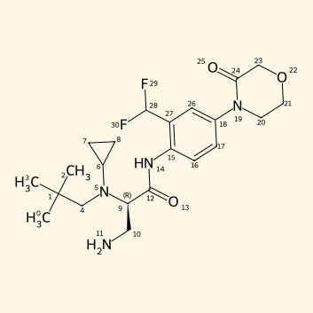 CC(C)(C)CN(C1CC1)[C@H](CN)C(=O)Nc1ccc(N2CCOCC2=O)cc1C(F)F